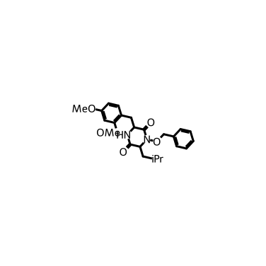 COc1ccc(CC2NC(=O)C(CC(C)C)N(OCc3ccccc3)C2=O)c(OC)c1